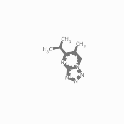 Cc1cn2nnnc2nc1C(C)C